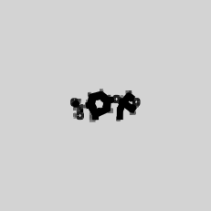 CCC1(Oc2ccc([N+](=O)[O-])c(C)c2)COC1